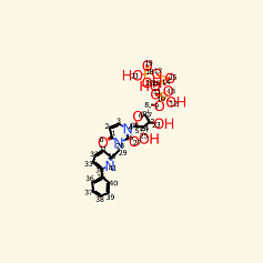 O=c1ccn([C@@H]2O[C@H](COP(=O)(O)OP(=O)(O)OP(=O)(O)O)C(O)[C@@H]2O)c(=O)n1Cc1cccc(-c2ccccc2)n1